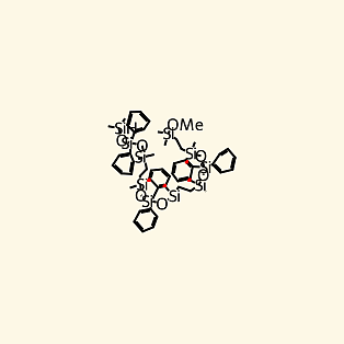 CO[Si](C)(C)CC[Si](C)(C)O[Si](O[Si](C)(C)CC[Si](C)(C)O[Si](O[Si](C)(C)CC[Si](C)(C)O[Si](O[SiH](C)C)(c1ccccc1)c1ccccc1)(c1ccccc1)c1ccccc1)(c1ccccc1)c1ccccc1